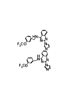 FC(F)(F)Oc1cccc(CNc2nc(-n3ccnc3)nc3ccccc23)c1.FC(F)(F)Oc1cccc(CNc2nc(-n3ccnc3)nc3ccccc23)c1